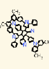 Cc1ccc2c(c1)c1cc(C)ccc1n2-c1ccc(-c2c(C#N)c(-c3cc(-c4ccccc4)nc(-c4ccccc4)c3)c(-c3ccc(-n4c5ccc(C)cc5c5cc(C)ccc54)cc3)c(-c3cc(-c4ccccc4)nc(-c4ccccc4)c3)c2-c2cccnc2)cc1